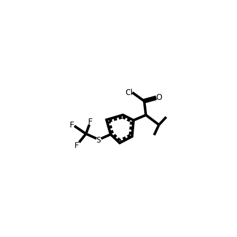 CC(C)C(C(=O)Cl)c1ccc(SC(F)(F)F)cc1